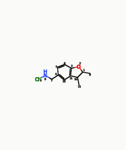 CC1Oc2ccc(CNCl)cc2C1C